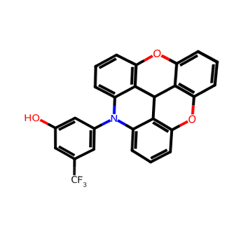 Oc1cc(N2c3cccc4c3C3c5c(cccc5Oc5cccc2c53)O4)cc(C(F)(F)F)c1